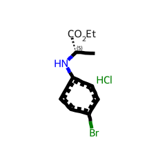 CCOC(=O)[C@H](C)Nc1ccc(Br)cc1.Cl